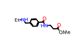 CCNCc1ccc(C(=O)NCCC(=O)OC)cc1